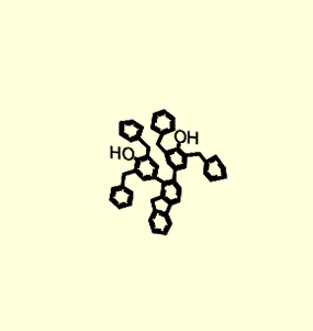 Oc1c(Cc2ccccc2)cc(-c2ccc3c(c2-c2cc(Cc4ccccc4)c(O)c(Cc4ccccc4)c2)Cc2ccccc2-3)cc1Cc1ccccc1